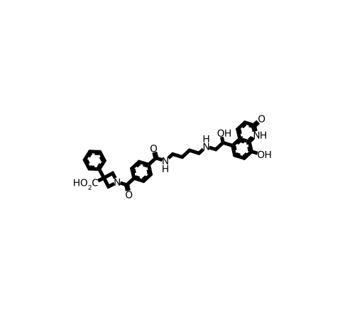 O=C(NCCCCNCC(O)c1ccc(O)c2[nH]c(=O)ccc12)c1ccc(C(=O)N2CC(C(=O)O)(c3ccccc3)C2)cc1